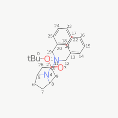 CC(C)(C)OC(=O)N1C2CCC1CC(N(Cc1ccccc1)Cc1ccccc1)C2